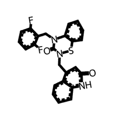 O=C1N(Cc2cc(=O)[nH]c3ccccc23)Sc2ccccc2N1Cc1c(F)cccc1F